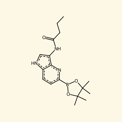 CCCC(=O)Nc1c[nH]c2ccc(B3OC(C)(C)C(C)(C)O3)nc12